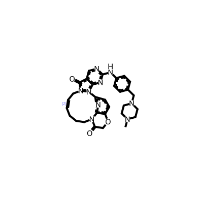 CN1CCN(Cc2ccc(Nc3ncc4c(=O)n5n(c4n3)-c3ccc4c(n3)N(CCC/C=C\C5)C(=O)CO4)cc2)CC1